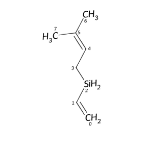 C=C[SiH2]CC=C(C)C